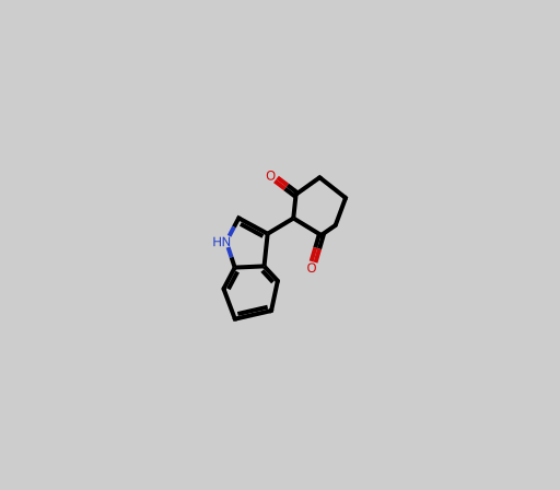 O=C1CCCC(=O)C1c1c[nH]c2ccccc12